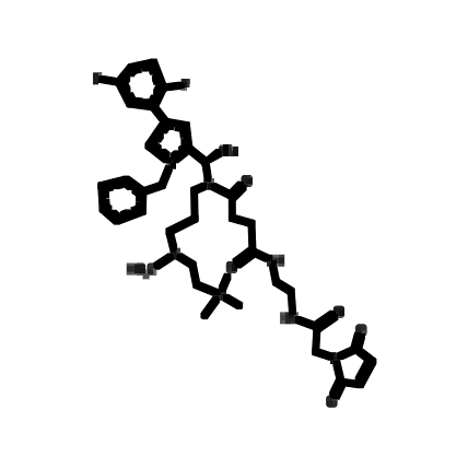 CC(C)(C)[C@H](c1cc(-c2cc(F)ccc2F)cn1Cc1ccccc1)N(CCCN(CC[Si](C)(C)C)C(=O)O)C(=O)CCC(=O)NCCNC(=O)CN1C(=O)C=CC1=O